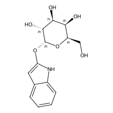 OC[C@H]1O[C@H](Oc2cc3ccccc3[nH]2)[C@H](O)[C@@H](O)[C@H]1O